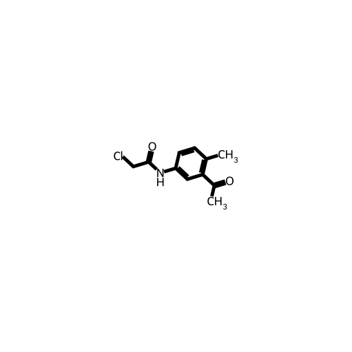 CC(=O)c1cc(NC(=O)CCl)ccc1C